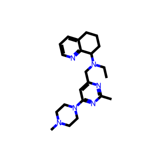 CCN(Cc1cc(N2CCN(C)CC2)nc(C)n1)C1CCCc2cccnc21